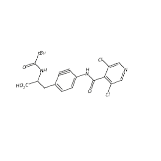 CC(C)(C)C(=O)NC(Cc1c#cc(NC(=O)c2c(Cl)cncc2Cl)cc1)C(=O)O